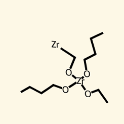 CCCC[O][Zr]([O]CC)([O]CC)[O]CCCC.[Zr]